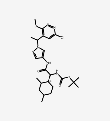 COc1nnc(Cl)cc1C(C)n1cc(NC(=O)C(NC(=O)OC(C)(C)C)[C@H]2CCC(C)CC2C)cn1